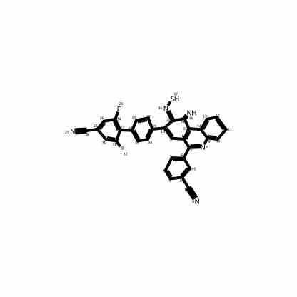 N#Cc1cccc(-c2nc3ccccc3c3c2C=C(c2ccc(-c4c(F)cc(C#N)cc4F)cc2)/C(=N/S)C3=N)c1